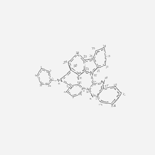 c1ccc(-n2c3cccc4c5nc6ccccc6nc5n5c6ccccc6c6ccc2c(c43)c65)cc1